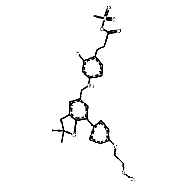 CCOCCOc1ccc(-c2cc(CNc3ccc(CCC(=O)OS(C)(=O)=O)c(F)c3)cc3c2OC(C)(C)C3)cc1